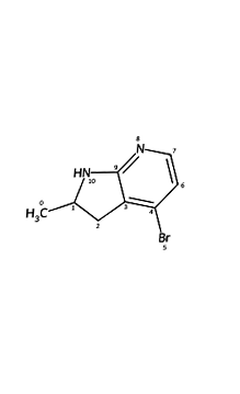 CC1Cc2c(Br)ccnc2N1